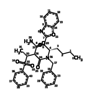 CCCC[C@@H](C(=O)c1nc2ccccc2o1)N(Cc1ccccc1)C(=O)C(C(N)=O)C(C)S(=O)(=O)c1ccccc1